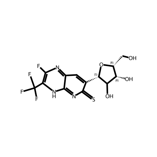 OC[C@H]1O[C@@H](c2cc3nc(F)c(C(F)(F)F)[nH]c-3nc2=S)C(O)[C@H]1O